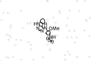 COc1cc(NS(C)(=O)=O)ccc1Nc1ncnc2[nH]c3c(c12)CCCC3